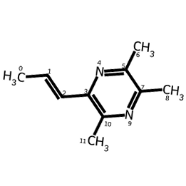 CC=Cc1nc(C)c(C)nc1C